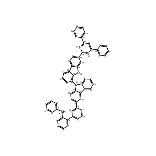 c1ccc(Nc2ccccc2-c2cccc(-c3ccc4c(c3)c3ccccc3n4-c3cccc4c3oc3cc(-c5nc(-c6ccccc6)cc(-c6ccccc6)n5)ccc34)c2)cc1